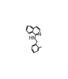 Cc1ccccc1CNc1nccc2ccccc12